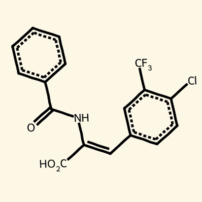 O=C(O)C(=Cc1ccc(Cl)c(C(F)(F)F)c1)NC(=O)c1ccccc1